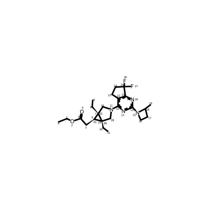 CCOC(=O)C[C@H]1[C@]2(CC)CN(c3nc(N4CCC4C)nc4c3CCC4(F)F)C[C@]12CC